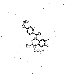 CCCOc1ccc(C(=O)N2CC(CC)N(C(=O)O)c3cc(C)c(C)cc32)cc1